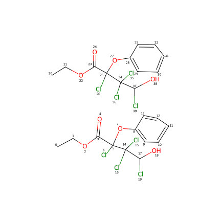 CCOC(=O)C(Cl)(Oc1ccccc1)C(Cl)(Cl)C(O)Cl.CCOC(=O)C(Cl)(Oc1ccccc1)C(Cl)(Cl)C(O)Cl